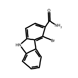 NC(=O)c1ccc2[nH]c3ccccc3c2c1Br